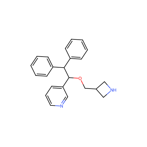 c1ccc(C(c2ccccc2)C(OCC2CNC2)c2cccnc2)cc1